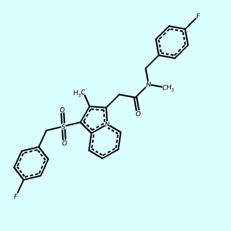 Cc1c(S(=O)(=O)Cc2ccc(F)cc2)c2ccccn2c1CC(=O)N(C)Cc1ccc(F)cc1